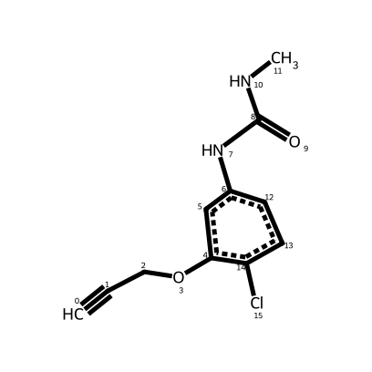 C#CCOc1cc(NC(=O)NC)ccc1Cl